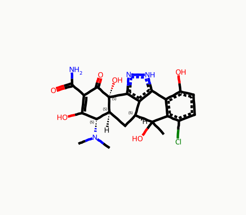 CN(C)[C@@H]1C(O)=C(C(N)=O)C(=O)[C@@]2(O)c3n[nH]c4c3[C@H](C[C@@H]12)C(C)(O)c1c(Cl)ccc(O)c1-4